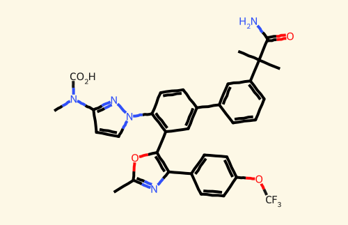 Cc1nc(-c2ccc(OC(F)(F)F)cc2)c(-c2cc(-c3cccc(C(C)(C)C(N)=O)c3)ccc2-n2ccc(N(C)C(=O)O)n2)o1